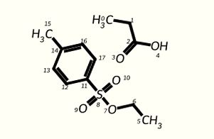 CCC(=O)O.CCOS(=O)(=O)c1ccc(C)cc1